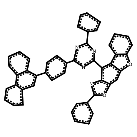 c1ccc(-c2nc(-c3ccc(-c4cc5ccccc5c5ccccc45)cc3)nc(-c3c4nc(-c5ccccc5)oc4cc4oc5ccccc5c34)n2)cc1